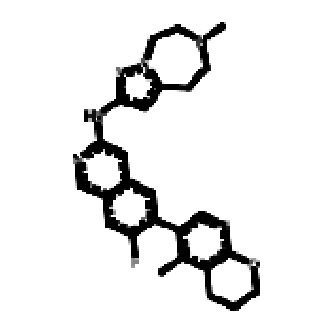 Cc1c(-c2cc3cc(Nc4cc5n(n4)CCN(C)CC5)ncc3cc2F)cnc2c1CCCO2